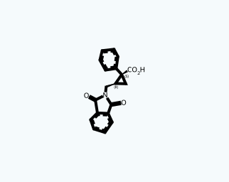 O=C1c2ccccc2C(=O)N1C[C@@H]1C[C@@]1(C(=O)O)c1ccccc1